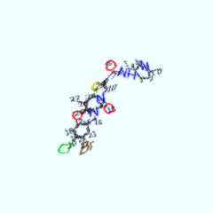 Cc1ccc(CNC(=O)c2cn3c(=O)n(Cc4ccc(Cl)c(Br)c4)c(=O)c(C)c3s2)cn1